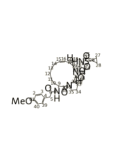 COc1ccc(CC(=O)N[C@H]2CCCCC/C=C\[C@@H]3C[C@@]3(C(=O)NS(=O)(=O)C3CC3)NC(=O)[C@@H]3CCCN3C2=O)cc1